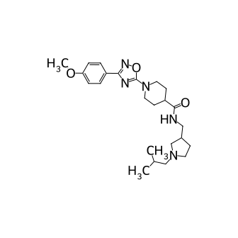 COc1ccc(-c2noc(N3CCC(C(=O)NCC4CCN(CC(C)C)C4)CC3)n2)cc1